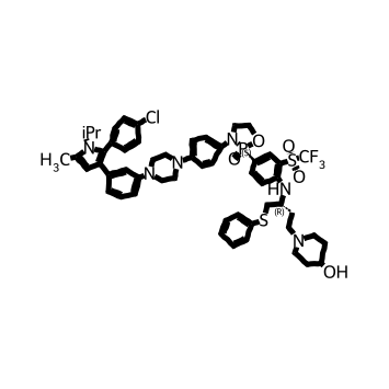 Cc1cc(-c2cccc(N3CCN(c4ccc(N5CCO[P@@]5(=O)c5ccc(N[C@H](CCN6CCC(O)CC6)CSc6ccccc6)c(S(=O)(=O)C(F)(F)F)c5)cc4)CC3)c2)c(-c2ccc(Cl)cc2)n1C(C)C